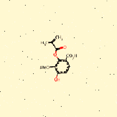 C=C(C)C(=O)Oc1c(C(=O)O)ccc(O)c1OC